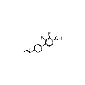 C/C=C/C1CC=C(c2ccc(O)c(F)c2F)CC1